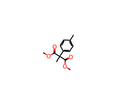 COC(=O)C(C)(C(=O)OC)c1ccc(C)cc1